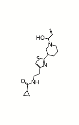 C=CC(O)N1CCCC(c2nc(CCNC(=O)C3CC3)cs2)C1